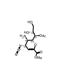 COC(=O)C1=C[C@H](N=[N+]=[N-])[C@@H](N)[C@H]([C@H](OC(C)=O)[C@H](O)CO)O1